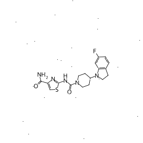 NC(=O)c1csc(NC(=O)N2CCC(N3CCc4ccc(F)cc43)CC2)n1